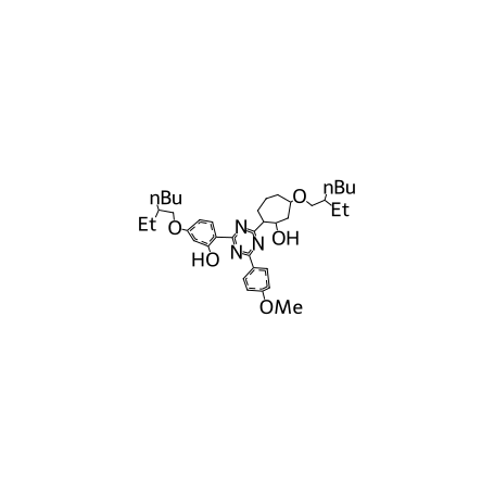 CCCCC(CC)COc1ccc(-c2nc(-c3ccc(OC)cc3)nc(C3CCCC(OCC(CC)CCCC)CC3O)n2)c(O)c1